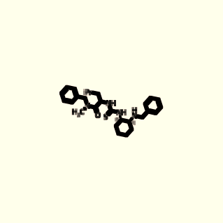 CC(C)CC(NC(=S)N[C@H]1CCCC[C@@H]1NCc1ccccc1)C(=O)N(C)Cc1ccccc1